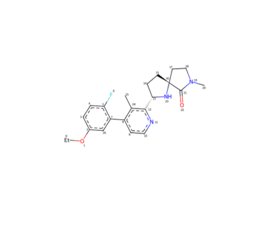 CCOc1ccc(F)c(-c2ccnc([C@@H]3CC[C@]4(CCN(C)C4=O)N3)c2C)c1